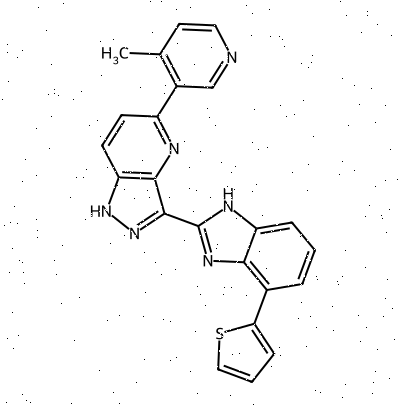 Cc1ccncc1-c1ccc2[nH]nc(-c3nc4c(-c5cccs5)cccc4[nH]3)c2n1